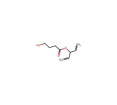 C=CC(C=C)OC(=O)CCCO